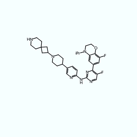 CC(C)N1CCOc2c(F)cc(-c3nc(Nc4ccc(C5CCN(C6CC7(CCNCC7)C6)CC5)cn4)ncc3F)cc21